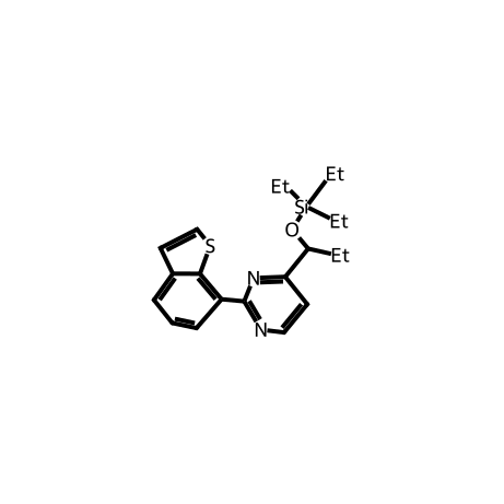 CCC(O[Si](CC)(CC)CC)c1ccnc(-c2cccc3ccsc23)n1